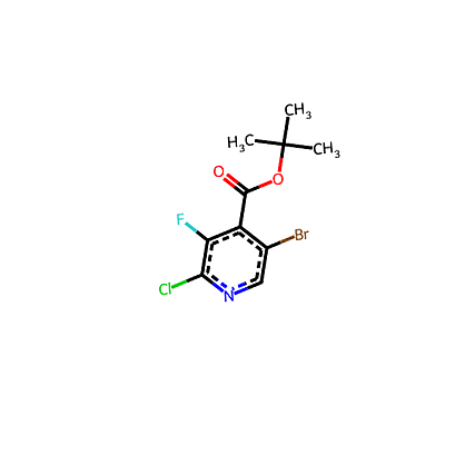 CC(C)(C)OC(=O)c1c(Br)cnc(Cl)c1F